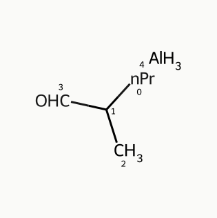 CCCC(C)C=O.[AlH3]